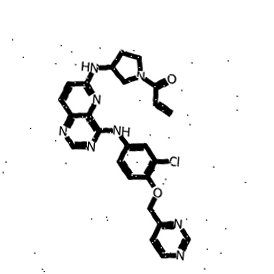 C=CC(=O)N1CCC(Nc2ccc3ncnc(Nc4ccc(OCc5ccncn5)c(Cl)c4)c3n2)C1